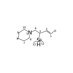 CC=CC(CN1CCCCC1)[SiH](C)C